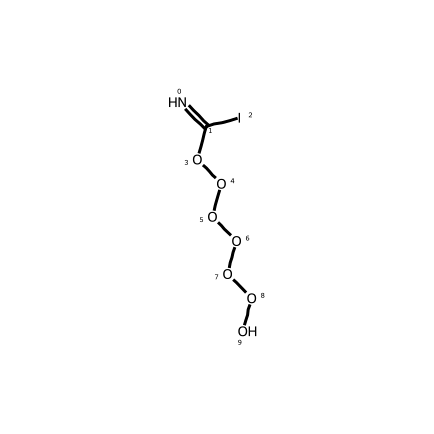 N=C(I)OOOOOOO